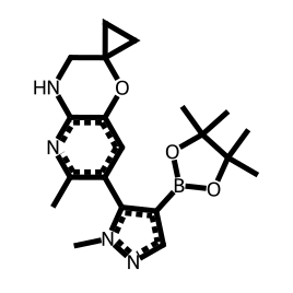 Cc1nc2c(cc1-c1c(B3OC(C)(C)C(C)(C)O3)cnn1C)OC1(CC1)CN2